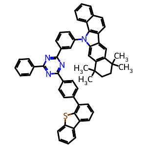 CC1(C)CCC(C)(C)c2cc3c(cc21)c1ccc2ccccc2c1n3-c1cccc(-c2nc(-c3ccccc3)nc(-c3ccc(-c4cccc5c4sc4ccccc45)cc3)n2)c1